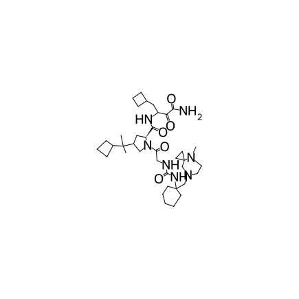 CN1CCN(CC2(NC(=O)NCC(=O)N3CC(C(C)(C)C4CCC4)C[C@H]3C(=O)NC(CC3CCC3)C(=O)C(N)=O)CCCCC2)CC12CC2